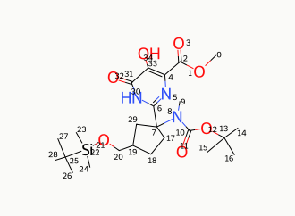 COC(=O)c1nc(C2(N(C)C(=O)OC(C)(C)C)CCC(CO[Si](C)(C)C(C)(C)C)C2)[nH]c(=O)c1O